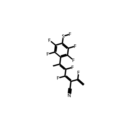 C=C(F)/C(C#N)=C(F)\C(F)=C(/C)c1c(F)c(F)c(SF)c(F)c1F